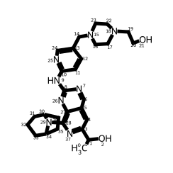 CC(O)c1cc2cnc(Nc3ccc(CN4CCN(CCO)CC4)cn3)nc2c(N2C3CCCC2CC3)n1